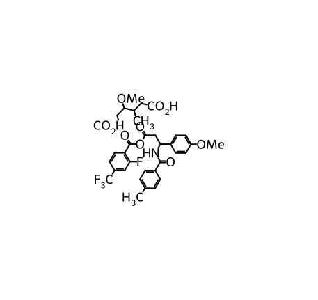 COC(CC(=O)O)C(C)CC(=O)O.COc1ccc(C(CC(=O)OC(=O)c2ccc(C(F)(F)F)cc2F)NC(=O)c2ccc(C)cc2)cc1